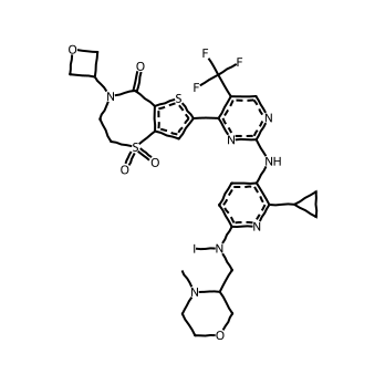 CN1CCOCC1CN(I)c1ccc(Nc2ncc(C(F)(F)F)c(-c3cc4c(s3)C(=O)N(C3COC3)CCS4(=O)=O)n2)c(C2CC2)n1